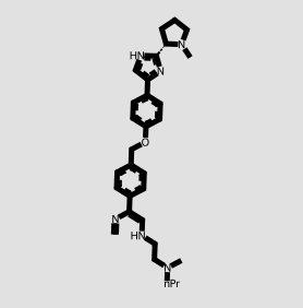 C=N/C(=C\NCCN(C)CCC)c1ccc(COc2ccc(-c3c[nH]c([C@@H]4CCCN4C)n3)cc2)cc1